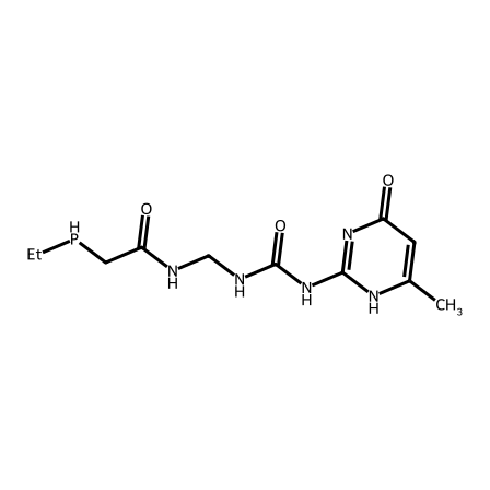 CCPCC(=O)NCNC(=O)Nc1nc(=O)cc(C)[nH]1